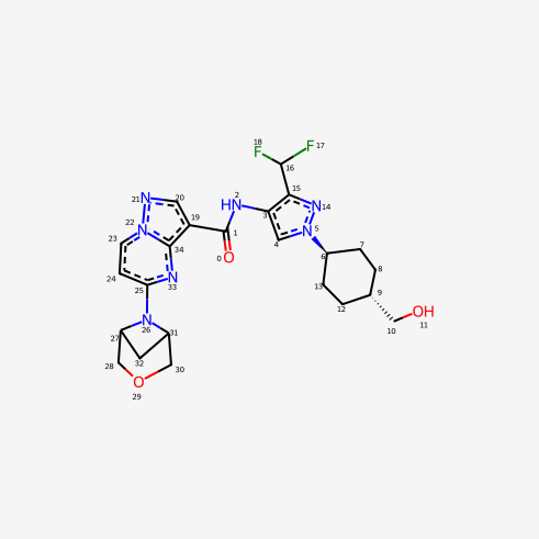 O=C(Nc1cn([C@H]2CC[C@H](CO)CC2)nc1C(F)F)c1cnn2ccc(N3C4COCC3C4)nc12